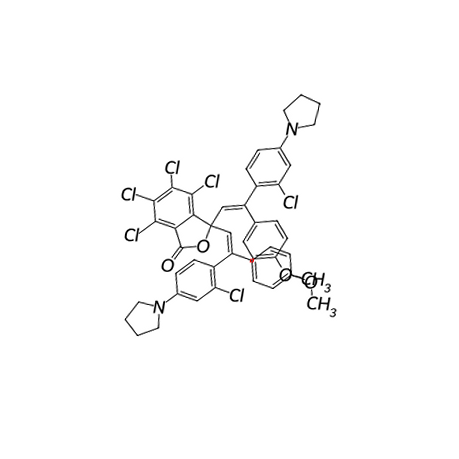 COc1ccc(C(=CC2(C=C(c3ccc(OC)cc3)c3ccc(N4CCCC4)cc3Cl)OC(=O)c3c(Cl)c(Cl)c(Cl)c(Cl)c32)c2ccc(N3CCCC3)cc2Cl)cc1